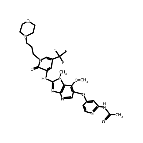 COc1c(Oc2ccnc(NC(C)=O)c2)cnc2nc(Nc3cc(C(F)(F)F)cn(CCCN4CCOCC4)c3=O)n(C)c12